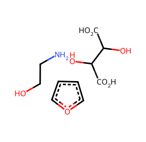 NCCO.O=C(O)C(O)C(O)C(=O)O.c1ccoc1